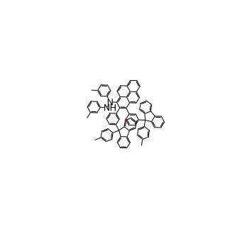 Cc1ccc(C2(c3cccc(-c4c(-c5cccc(C6(c7ccc(C)cc7)c7ccccc7-c7ccccc76)c5)c5ccc6cccc7ccc(c4N(Nc4cccc(C)c4)c4cccc(C)c4)c5c67)c3)c3ccccc3-c3ccccc32)cc1